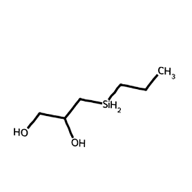 CCC[SiH2]CC(O)CO